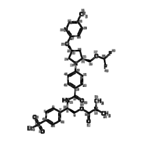 CCS(=O)(=O)c1ccc([C@H](COC(=O)N(C)C)NC(=O)c2ccc(N3C[C@@H](Oc4ccc(C(F)(F)F)cn4)C[C@H]3COC(F)F)cc2)cc1